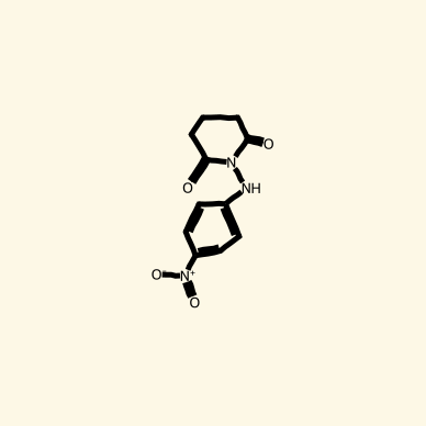 O=C1CCCC(=O)N1Nc1ccc([N+](=O)[O-])cc1